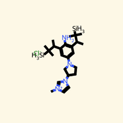 CC(c1cc(N2CCC(n3cc[n+](C)c3)C2)cc(C(C)C(C)(C)[SiH3])c1N)C(C)(C)[SiH3].[Cl-]